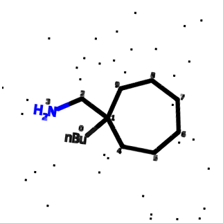 CCCCC1(CN)CCCCCC1